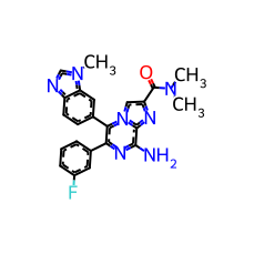 CN(C)C(=O)c1cn2c(-c3ccc4ncn(C)c4c3)c(-c3cccc(F)c3)nc(N)c2n1